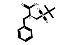 CC(C)(C)S(=O)(=O)C[C@@H](Cc1ccccc1)C([NH])=O